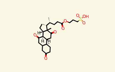 C[C@H](CCC(=O)OCCCS(=O)(=O)O)[C@H]1CC[C@H]2[C@@H]3C(=O)CC4CC(=O)CC[C@]4(C)[C@H]3CC(=O)C12C